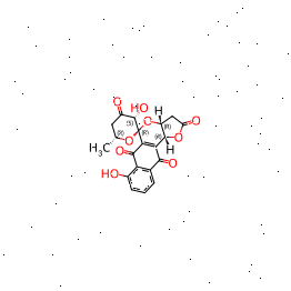 C[C@@H]1CC(=O)[C@H](O)[C@]2(O1)O[C@@H]1CC(=O)O[C@@H]1C1=C2C(=O)c2c(O)cccc2C1=O